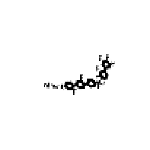 CCCCCc1ccc(-c2ccc(-c3ccc(C(F)(F)Oc4ccc(-c5cc(F)c(F)c(F)c5)c(F)c4)cc3)c(F)c2)c(F)c1